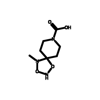 CN1ONOC12CCN(C(=O)O)CC2